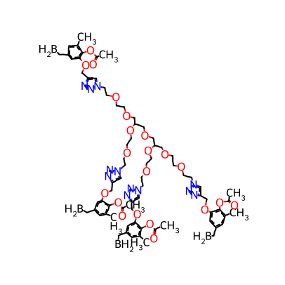 BCc1cc(C)c(OC(C)=O)c(OCc2cn(CCOCCOCC(COCC(COCCOCCn3cc(COc4cc(CB)cc(C)c4OC(C)=O)nn3)OCCOCCn3cc(COc4cc(CB)cc(C)c4OC(C)=O)nn3)OCCOCCn3cc(COc4cc(CB)cc(C)c4OC(C)=O)nn3)nn2)c1